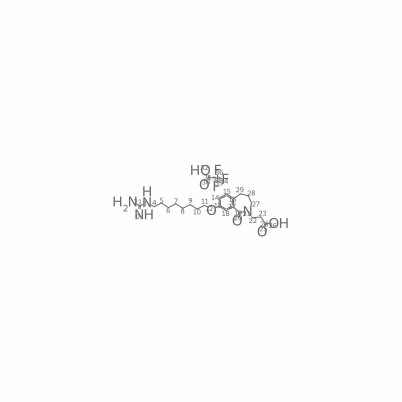 N=C(N)NCCCCCCCCOc1ccc2c(c1)C(=O)N(CCC(=O)O)CCC2.O=C(O)C(F)(F)F